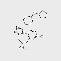 CN1Cc2cc(Cl)ccc2-n2c(nnc2[C@H]2CC[C@H](OC3CCCC3)CC2)C1